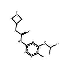 O=C(CC1CNC1)Nc1ccc(F)c(OC(F)F)c1